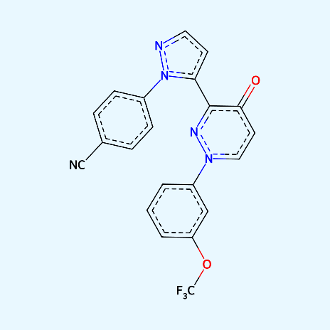 N#Cc1ccc(-n2nccc2-c2nn(-c3cccc(OC(F)(F)F)c3)ccc2=O)cc1